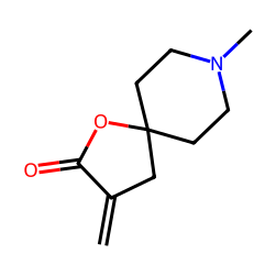 C=C1CC2(CCN(C)CC2)OC1=O